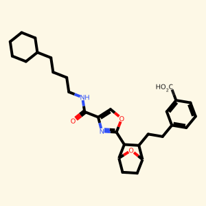 O=C(O)c1cccc(CCC2C3CCC(O3)C2c2nc(C(=O)NCCCCC3CCCCC3)co2)c1